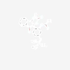 CC(=O)Oc1cc(CC(C)(C)C)ccc1C1(OC(C)=O)C(=O)c2ccccc2C1=O